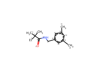 CCC(C)(C)C(=O)NCc1cc(C)cc(C)c1